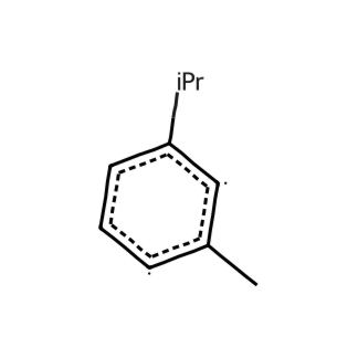 Cc1[c]ccc(C(C)C)[c]1